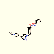 CC(=O)CN1CCC(c2ccnc3c2ccn3Cc2ccc(C(=O)NOCc3ccccc3)cc2)CC1